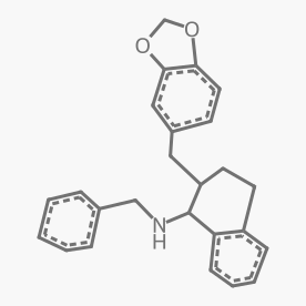 c1ccc(CNC2c3ccccc3CCC2Cc2ccc3c(c2)OCO3)cc1